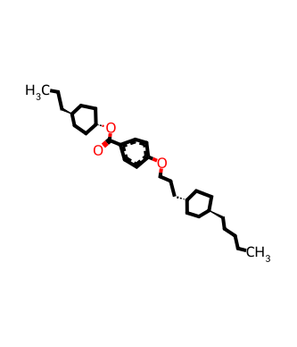 CCCCC[C@H]1CC[C@H](CCCOc2ccc(C(=O)O[C@H]3CC[C@H](CCC)CC3)cc2)CC1